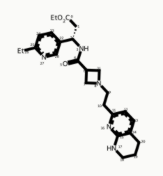 CCOC(=O)C[C@H](NC(=O)C1CN(CCc2ccc3c(n2)NCCC3)C1)c1ccc(CC)nc1